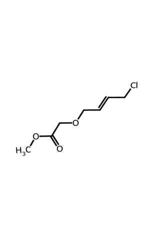 COC(=O)COCC=CCCl